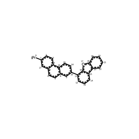 CC(C)c1ccc2c(ccc3cc(-c4cccc5c4oc4ccccc45)ccc32)c1